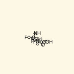 COc1cc(C(=O)NC[C@@](O)(c2cc([C@]3(C)CCN3)cc(-c3ccc(F)cc3)n2)C(F)(F)F)ccc1OC[C@@H](C)O